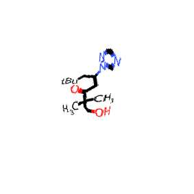 CC(C)(C)CC(CC(=O)C(C)(C)CO)n1cncn1